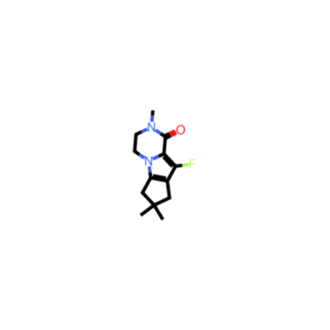 CN1CCn2c3c(c(F)c2C1=O)CC(C)(C)C3